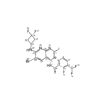 Cc1nc(N[C@H](C)c2cccc(C(F)F)c2F)c2cc(Br)c(NC3CC(F)(F)C3)nc2n1